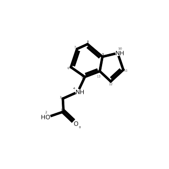 O=C(O)CNc1cccc2[nH]ccc12